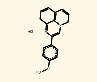 COc1ccc(C2=CN3CC=CC4=C3C(=N2)CC=C4)cc1.Cl